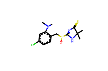 CN(C)c1cc(Cl)ccc1C[S+]([O-])C1=NC(=S)C(C)(C)N1